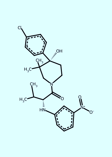 CC(C)[C@@H](Nc1cccc([N+](=O)[O-])c1)C(=O)N1CC[C@](O)(c2ccc(Cl)cc2)C(C)(C)C1